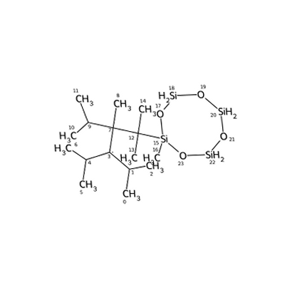 CC(C)[C](C(C)C)C(C)(C(C)C)C(C)(C)[Si]1(C)O[SiH2]O[SiH2]O[SiH2]O1